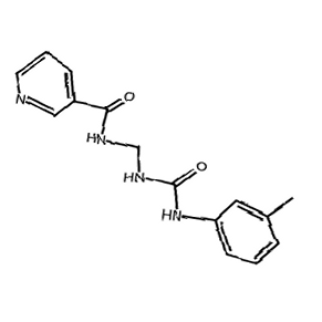 Cc1cccc(NC(=O)NCNC(=O)c2cccnc2)c1